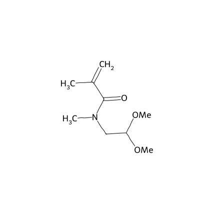 C=C(C)C(=O)N(C)CC(OC)OC